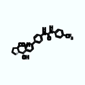 O=C(Nc1ccc(-c2ccc([C@H](O)[C@@H]3CCC[C@H]3C(=O)O)cc2)cc1)Nc1ccc(C(F)(F)F)cc1